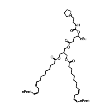 CCCCC/C=C\C/C=C\CCCCCCCC(=O)OCC(COC(=O)CCCCCCC/C=C\C/C=C\CCCCC)COC(=O)CCC(CCCC)OC(=O)NCCN1CCCC1